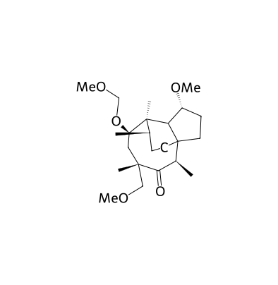 COCO[C@@H]1C[C@@](C)(COC)C(=O)[C@H](C)C23CC[C@@H](C)[C@]1(C)C2[C@H](OC)CC3